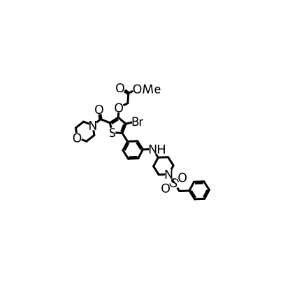 COC(=O)COc1c(C(=O)N2CCOCC2)sc(-c2cccc(NC3CCN(S(=O)(=O)Cc4ccccc4)CC3)c2)c1Br